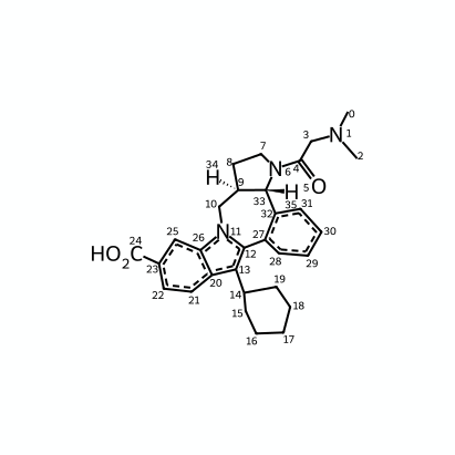 CN(C)CC(=O)N1CC[C@@H]2Cn3c(c(C4CCCCC4)c4ccc(C(=O)O)cc43)-c3ccccc3[C@H]21